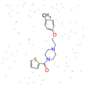 Cc1ccc(OCCN2CCN(C(=O)c3cccs3)CC2)cc1